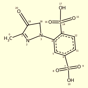 CC1=NN(c2cc(S(=O)(=O)O)ccc2S(=O)(=O)O)CC1=O